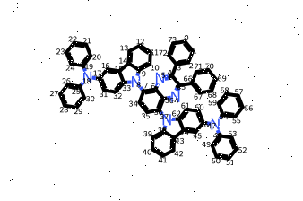 c1ccc(-c2nc3c(-n4c5ccccc5c5cc(N(c6ccccc6)c6ccccc6)ccc54)ccc(-n4c5ccccc5c5cc(N(c6ccccc6)c6ccccc6)ccc54)c3nc2-c2ccccc2)cc1